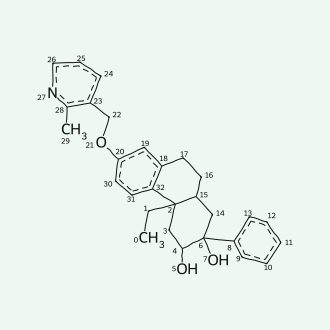 CCC12CC(O)C(O)(c3ccccc3)CC1CCc1cc(OCc3cccnc3C)ccc12